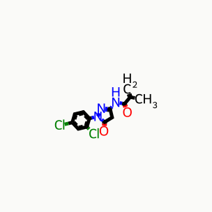 C=C(C)C(=O)NC1=NN(c2ccc(Cl)cc2Cl)C(=O)C1